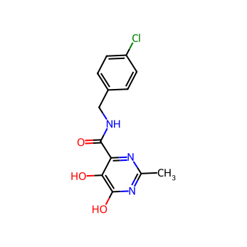 Cc1nc(O)c(O)c(C(=O)NCc2ccc(Cl)cc2)n1